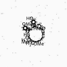 COc1ccc(C[C@@H]2NC(=O)[C@H](C)[C@H](OC)[C@@H](C)[C@@H](OC)C=CC=CCCOC(=O)[C@@H]3CCCN(N3)C(=O)[C@H](Cc3cccc(O)c3)NC2=O)cc1